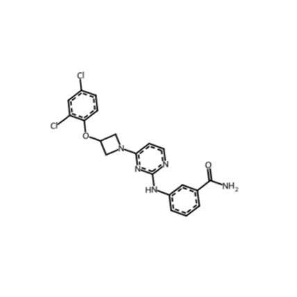 NC(=O)c1cccc(Nc2nccc(N3CC(Oc4ccc(Cl)cc4Cl)C3)n2)c1